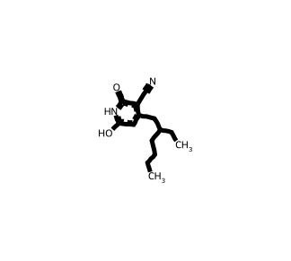 CCCCC(CC)Cc1cc(O)[nH]c(=O)c1C#N